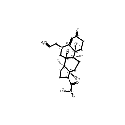 C=CCN1C[C@H]2[C@@H]3CC[C@H](C(=O)N(CC)CC)[C@@]3(C)CC[C@@H]2[C@@]2(C)CCC(=O)C=C12